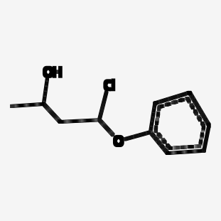 CC(O)CC(Cl)Oc1ccccc1